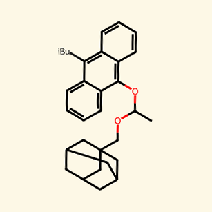 CCC(C)c1c2ccccc2c(OC(C)OCC23CC4CC(CC(C4)C2)C3)c2ccccc12